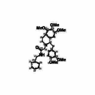 COc1ccc(CC2c3cc(OC)c(OC)c(OC)c3CCN2CC(=O)NCc2ccccc2)cc1OC